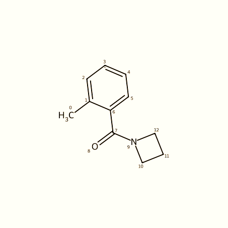 Cc1c[c]ccc1C(=O)N1CCC1